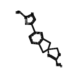 CCCn1cc(-c2ccc3c(c2)CC2(COC(N)=N2)C3)cn1